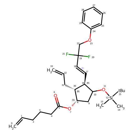 C=CCCCC(=O)O[C@H]1CC(O[Si](C)(C)C(C)(C)C)[C@H](/C=C/C(F)(F)COc2ccccc2)[C@H]1CC=C